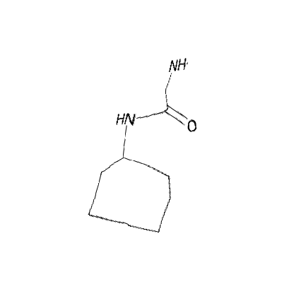 [NH]C(=O)NC1CCCCC1